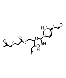 CC(=O)CSCC(=O)OCC(OC(S)N(C)/C=C\C(N)=N/C=O)C(O)CF